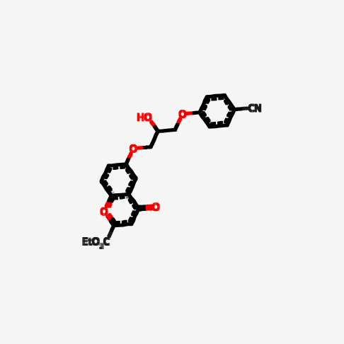 CCOC(=O)c1cc(=O)c2cc(OCC(O)COc3ccc(C#N)cc3)ccc2o1